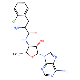 Nc1ncnc2c1ncn2[C@@H]1O[C@H](C(=O)O)[C@@H](NC(=O)C(N)Cc2ccccc2Cl)[C@H]1O